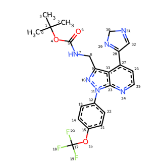 CC(C)(C)OC(=O)NCc1nn(-c2ccc(OC(F)(F)F)cc2)c2nccc(C3=NCN=C3)c12